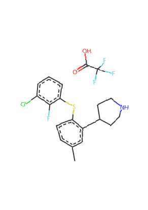 Cc1ccc(Sc2cccc(Cl)c2F)c(C2CCNCC2)c1.O=C(O)C(F)(F)F